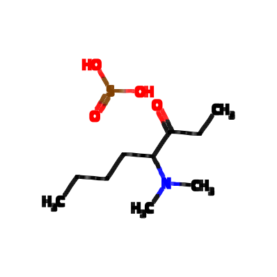 CCCCC(C(=O)CC)N(C)C.O=S(O)O